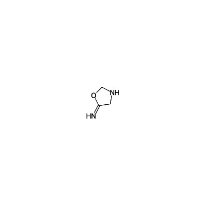 N=C1CNCO1